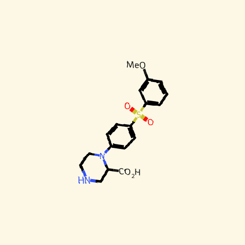 COc1cccc(S(=O)(=O)c2ccc(N3CCNCC3C(=O)O)cc2)c1